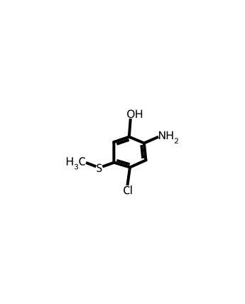 CSc1cc(O)c(N)cc1Cl